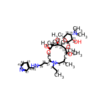 CCCN1C[C@H](C)C[C@@](C)(OC)[C@H](O[C@@H]2O[C@H](C)C[C@H](N(C)C)[C@H]2O)[C@@H](C)C(=O)C(C)(C)C(=O)OC[C@H]1CCCNCc1cccnc1